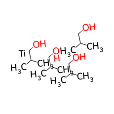 CC(C)CO.CC(C)CO.CC(C)CO.CC(C)CO.[Ti]